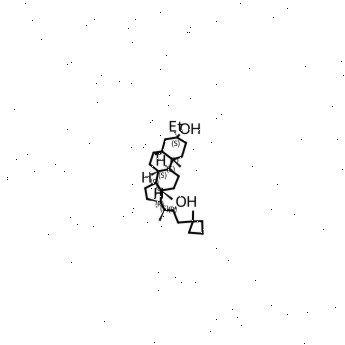 CC[C@]1(O)CC[C@@]2(C)C(=CC[C@H]3[C@@H]4CC[C@H]([C@H](C)[C@H](O)CC5(C)CCC5)[C@@]4(C)CC[C@@H]32)C1